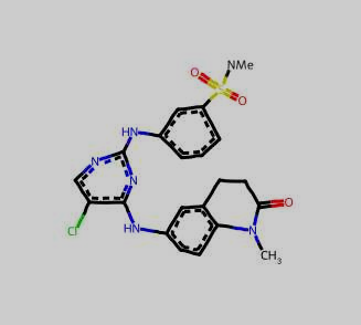 CNS(=O)(=O)c1cccc(Nc2ncc(Cl)c(Nc3ccc4c(c3)CCC(=O)N4C)n2)c1